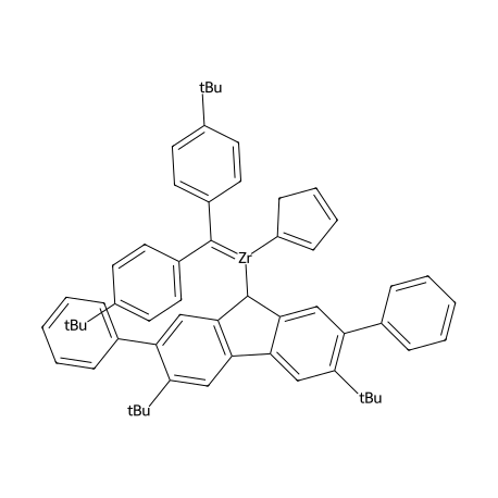 CC(C)(C)c1ccc([C](c2ccc(C(C)(C)C)cc2)=[Zr]([C]2=CC=CC2)[CH]2c3cc(-c4ccccc4)c(C(C)(C)C)cc3-c3cc(C(C)(C)C)c(-c4ccccc4)cc32)cc1